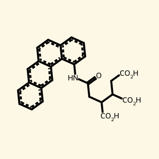 O=C(O)CC(C(=O)O)C(CC(=O)Nc1cccc2ccc3cc4ccccc4cc3c12)C(=O)O